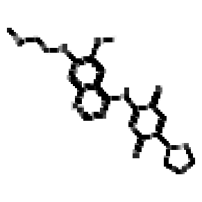 COCCOc1cc2ncnc(NC3=CC(=O)C(N4CCCC4)=CC3=O)c2cc1OC